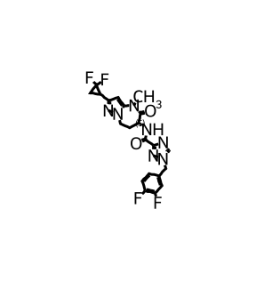 CN1C(=O)[C@@H](NC(=O)c2ncn(Cc3ccc(F)c(F)c3)n2)CCn2nc(C3CC3(F)F)cc21